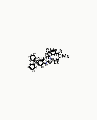 CCN/C(=N\c1cc(C(=O)OC)ccc1C(=O)OC)O/C(C=O)=C/c1ccc(N(c2ccccc2)c2ccccc2)cc1